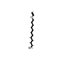 C=COCCCCCCCCCCCBr